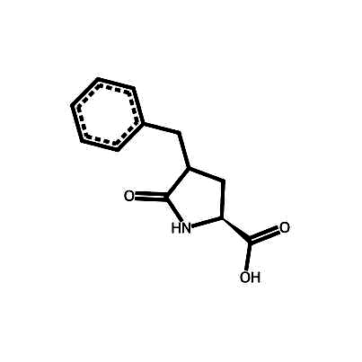 O=C1N[C@H](C(=O)O)CC1Cc1ccccc1